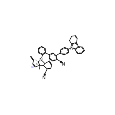 C=C/C=C\C1(C)C2C(C#N)=CC=CC2N(c2ccccc2-c2ccc(C#N)c(-c3ccc(-n4c5c(c6ccccc64)C=CCC5)cc3)c2)[C@H]1C